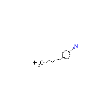 [CH2]CCCCCc1ccc(C#N)cc1